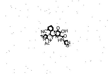 CC(=O)N(C)c1nn(C)cc1[C@H](c1ccccc1C#N)[C@H](C)c1nc(C(=O)Nc2cnoc2)c(O)c(=O)n1C